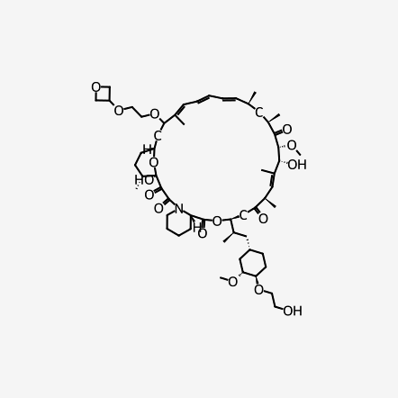 CO[C@@H]1C[C@H](C[C@@H](C)[C@@H]2CC(=O)[C@H](C)/C=C(\C)[C@@H](O)[C@@H](OC)C(=O)[C@H](C)C[C@H](C)/C=C/C=C/C=C(\C)C(OCCOC3COC3)C[C@@H]3CC[C@@H](C)[C@@](O)(O3)C(=O)C(=O)N3CCCC[C@H]3C(=O)O2)CC[C@H]1OCCO